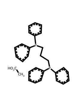 CC(=O)O.c1ccc(P(CCCP(c2ccccc2)c2ccccc2)c2ccccc2)cc1